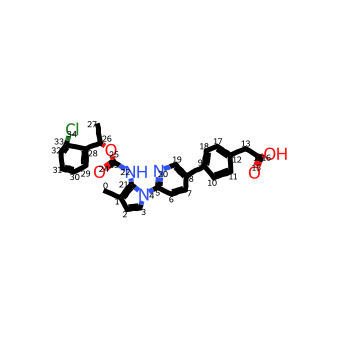 Cc1ccn(-c2ccc(-c3ccc(CC(=O)O)cc3)cn2)c1NC(=O)OC(C)c1ccccc1Cl